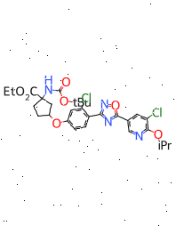 CCOC(=O)C1(NC(=O)OC(C)(C)C)CCC(Oc2ccc(-c3noc(-c4cnc(OC(C)C)c(Cl)c4)n3)c(Cl)c2)C1